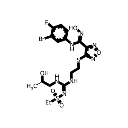 CCS(=O)(=O)/N=C(/NCCSc1nonc1/C(=N/O)Nc1ccc(F)c(Br)c1)NC[C@H](C)O